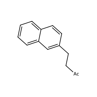 CC(=O)CCc1ccc2ccccc2c1